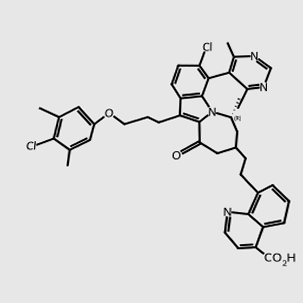 Cc1cc(OCCCc2c3n(c4c(-c5c(C)ncnc5C)c(Cl)ccc24)[C@H](C)CC(CCc2cccc4c(C(=O)O)ccnc24)CC3=O)cc(C)c1Cl